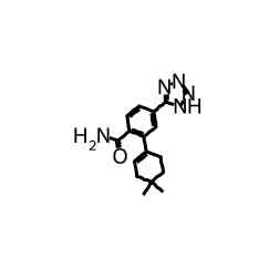 CC1(C)CC=C(c2cc(-c3nnn[nH]3)ccc2C(N)=O)CC1